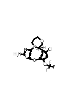 Nc1nc2cc(n1)N1CCCOC[C@@H]1c1cc(c(OC(F)(F)F)cc1Cl)O2